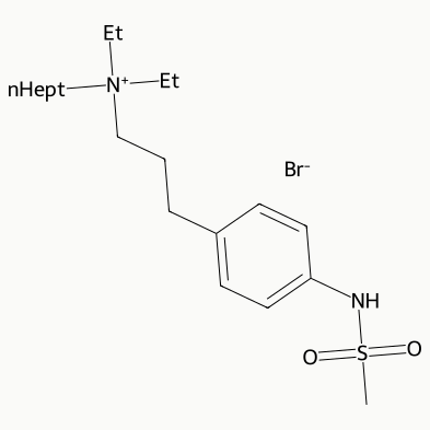 CCCCCCC[N+](CC)(CC)CCCc1ccc(NS(C)(=O)=O)cc1.[Br-]